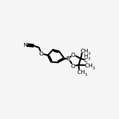 CC1(C)OB(c2ccc(OCC#N)cc2)OC1(C)C